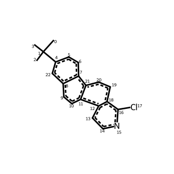 CC(C)(C)c1ccc2c(ccc3c4ccnc(Cl)c4ccc23)c1